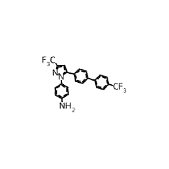 Nc1ccc(-n2nc(C(F)(F)F)cc2-c2ccc(-c3ccc(C(F)(F)F)cc3)cc2)cc1